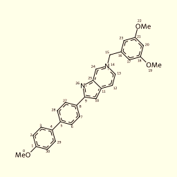 COc1ccc(-c2ccc(-c3cc4ccn(Cc5cc(OC)cc(OC)c5)cc-4n3)cc2)cc1